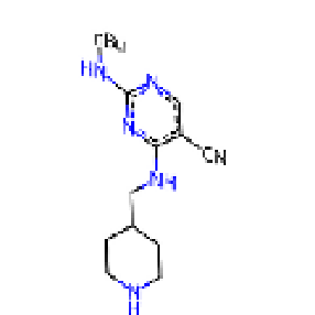 CCCCNc1ncc(C#N)c(NCC2CCNCC2)n1